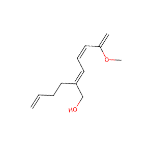 C=CCC/C(=C\C=C/C(=C)OC)CO